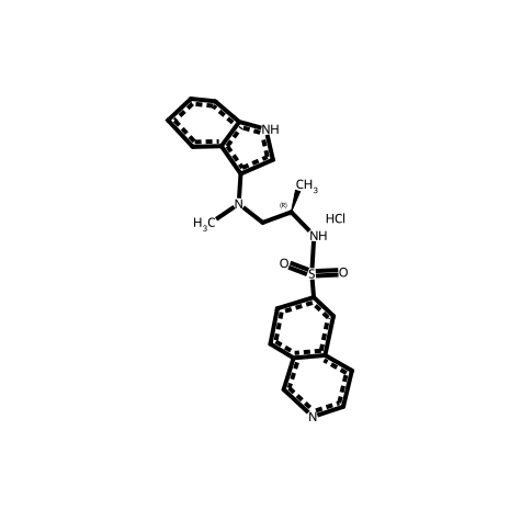 C[C@H](CN(C)c1c[nH]c2ccccc12)NS(=O)(=O)c1ccc2cnccc2c1.Cl